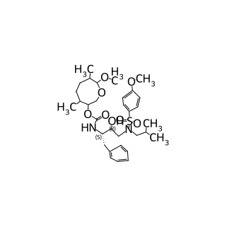 COc1ccc(S(=O)(=O)N(CC(C)C)C[C@@H](O)[C@H](Cc2ccccc2)NC(=O)OC2COC(OC)C(C)CCC2C)cc1